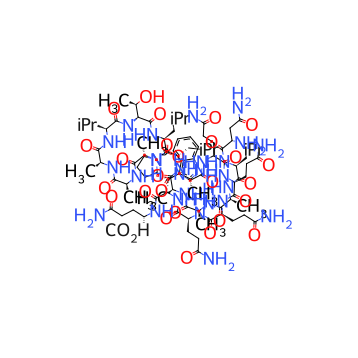 CC(C)C[C@H](NC(=O)[C@H](C)NC(=O)[C@H](C)NC(=O)[C@H](C)NC(=O)[C@H](CC(C)C)NC(=O)[C@@H](N)CC(N)=O)C(=O)N[C@@H](C)C(=O)N[C@@H](C)C(=O)N[C@@H](C)C(=O)N[C@H](C(=O)N[C@H](C(=O)N[C@@H](CC(C)C)C(=O)N1CCC[C@H]1C(=O)N[C@@H](C)C(=O)N[C@@H](CCC(N)=O)C(=O)N[C@@H](CCC(N)=O)C(=O)N[C@@H](CCC(N)=O)C(=O)N[C@@H](CCC(N)=O)C(=O)N[C@@H](Cc1c[nH]c2ccccc12)C(=O)N[C@@H](CCC(N)=O)C(=O)O)[C@@H](C)O)C(C)C